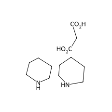 C1CCNCC1.C1CCNCC1.O=C(O)CC(=O)O